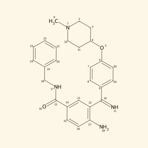 CN1CCC(Oc2ccc(C(=N)c3cc(C(=O)NCc4ccccc4)ccc3N)cc2)CC1